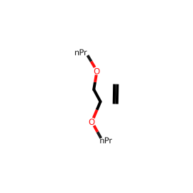 C=C.CCCOCCOCCC